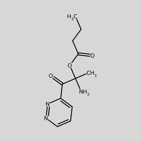 CCCC(=O)OC(C)(N)C(=O)c1cccnn1